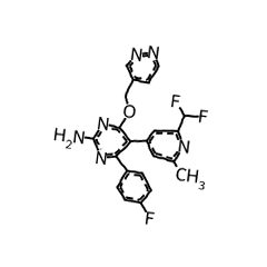 Cc1cc(-c2c(OCc3ccnnc3)nc(N)nc2-c2ccc(F)cc2)cc(C(F)F)n1